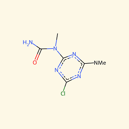 CNc1nc(Cl)nc(N(C)C(N)=O)n1